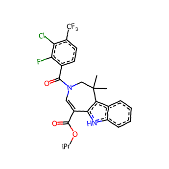 CC(C)OC(=O)C1=CN(C(=O)c2ccc(C(F)(F)F)c(Cl)c2F)CC(C)(C)c2c1[nH]c1ccccc21